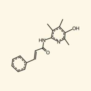 Cc1nc(NC(=O)C=Cc2ccccc2)c(C)c(C)c1O